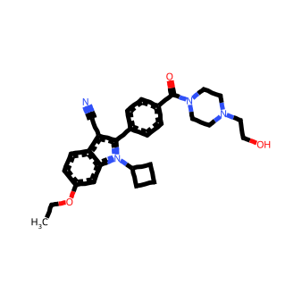 CCOc1ccc2c(C#N)c(-c3ccc(C(=O)N4CCN(CCO)CC4)cc3)n(C3CCC3)c2c1